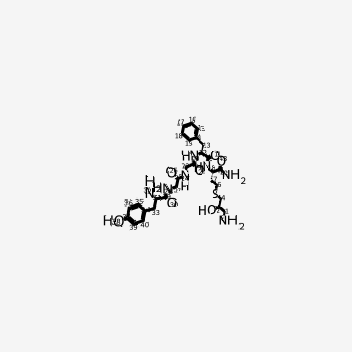 NCC(O)CSCC[C@H](NC(=O)[C@H](Cc1ccccc1)NC(=O)CNC(=O)CNC(=O)[C@@H](N)Cc1ccc(O)cc1)C(N)=O